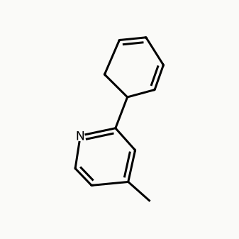 Cc1ccnc(C2C=CC=CC2)c1